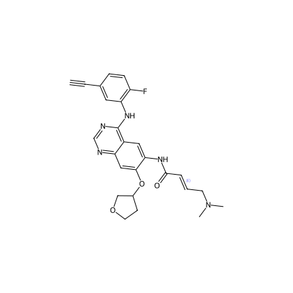 C#Cc1ccc(F)c(Nc2ncnc3cc(OC4CCOC4)c(NC(=O)/C=C/CN(C)C)cc23)c1